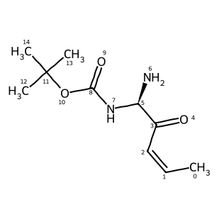 C/C=C\C(=O)[C@H](N)NC(=O)OC(C)(C)C